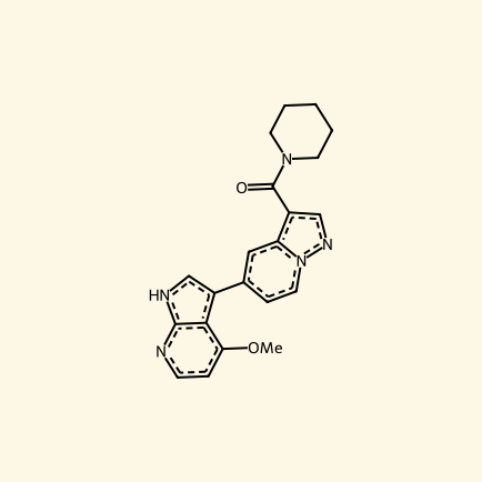 COc1ccnc2[nH]cc(-c3ccn4ncc(C(=O)N5CCCCC5)c4c3)c12